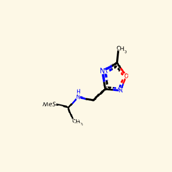 CSC(C)NCc1noc(C)n1